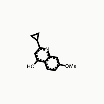 COc1ccc2c(O)cc(C3CC3)nc2c1